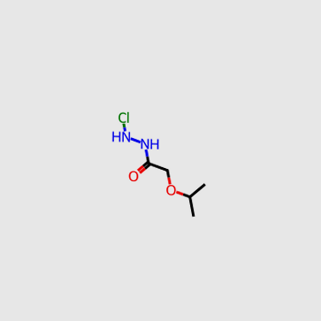 CC(C)OCC(=O)NNCl